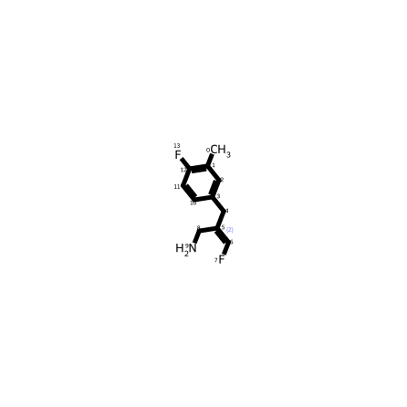 Cc1cc(C/C(=C/F)CN)ccc1F